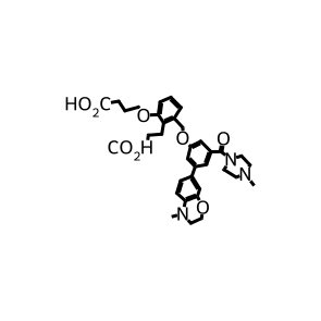 CN1CCN(C(=O)c2cc(OCc3cccc(OCCCC(=O)O)c3CCC(=O)O)cc(-c3ccc4c(c3)OCCN4C)c2)CC1